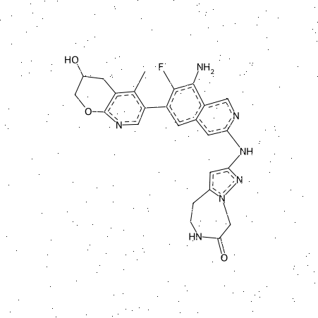 Cc1c(-c2cc3cc(Nc4cc5n(n4)CC(=O)NCC5)ncc3c(N)c2F)cnc2c1CC(O)CO2